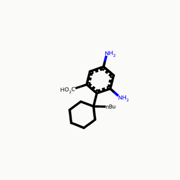 CCCCC1(c2c(N)cc(N)cc2C(=O)O)CCCCC1